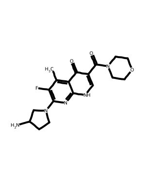 Cc1c(F)c(N2CCC(N)C2)nc2[nH]cc(C(=O)N3CCOCC3)c(=O)c12